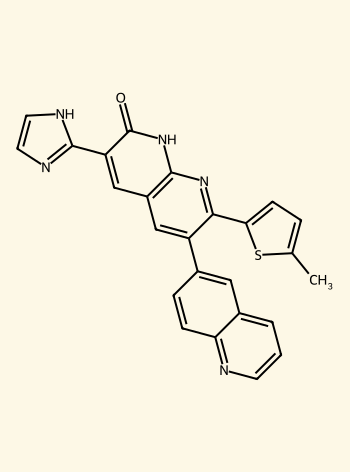 Cc1ccc(-c2nc3[nH]c(=O)c(-c4ncc[nH]4)cc3cc2-c2ccc3ncccc3c2)s1